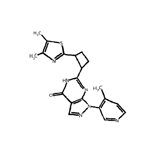 Cc1ccncc1-n1ncc2c(=O)[nH]c(C3CCC3c3nc(C)c(C)s3)nc21